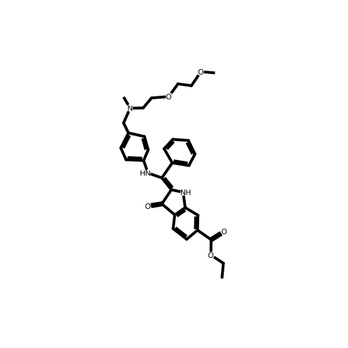 CCOC(=O)c1ccc2c(c1)NC(=C(Nc1ccc(CN(C)CCOCCOC)cc1)c1ccccc1)C2=O